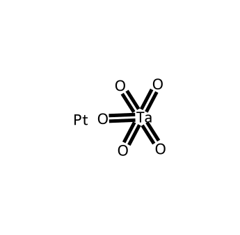 [O]=[Ta](=[O])(=[O])(=[O])=[O].[Pt]